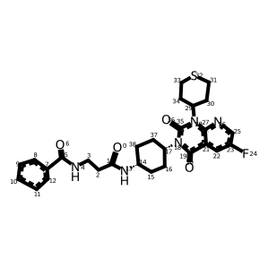 O=C(CCNC(=O)c1ccccc1)N[C@H]1CC[C@@H](n2c(=O)c3cc(F)cnc3n(C3CCSCC3)c2=O)CC1